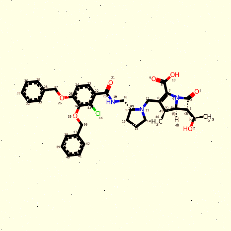 C[C@@H](O)[C@H]1C(=O)N2C(C(=O)O)=C(CN3CCC[C@@H]3CNC(=O)c3ccc(OCc4ccccc4)c(OCc4ccccc4)c3Cl)[C@H](C)[C@H]12